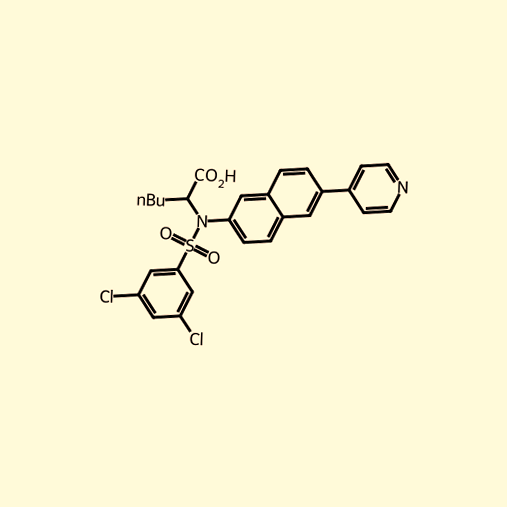 CCCCC(C(=O)O)N(c1ccc2cc(-c3ccncc3)ccc2c1)S(=O)(=O)c1cc(Cl)cc(Cl)c1